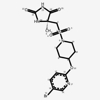 C[C@]1(CS(=O)(=O)N2CCC(Oc3ccc(Br)cn3)CC2)NC(=O)NC1=O